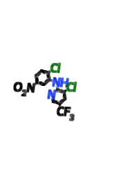 O=[N+]([O-])c1ccc(Cl)c(Nc2ncc(C(F)(F)F)cc2Cl)c1